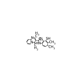 C=C1C(C(=O)NC2=C(Cl)C(S)=C(C)C(C)C=C2)=C(C)N=C2C=CC=CN12